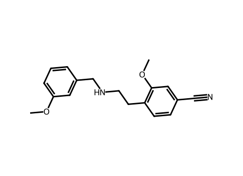 COc1cccc(CNCCc2ccc(C#N)cc2OC)c1